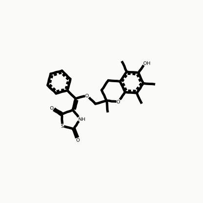 Cc1c(C)c2c(c(C)c1O)CCC(C)(COC(=C1NC(=O)SC1=O)c1ccccc1)O2